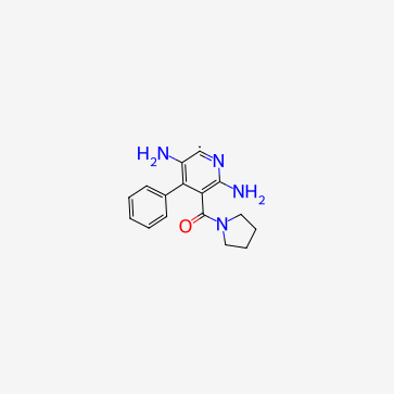 Nc1[c]nc(N)c(C(=O)N2CCCC2)c1-c1ccccc1